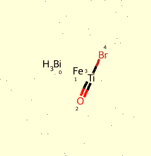 [BiH3].[Fe].[O]=[Ti][Br]